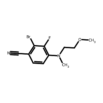 COCCN(C)c1ccc(C#N)c(Br)c1F